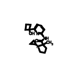 CC1(C(=O)Nc2cccc(C3(O)CCC3)n2)CCCN1C1CC1